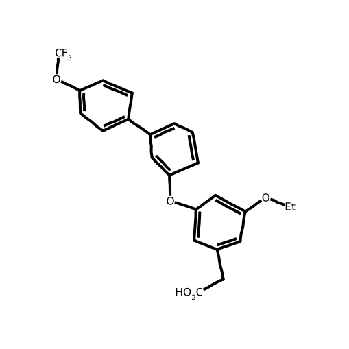 CCOc1cc(CC(=O)O)cc(Oc2cccc(-c3ccc(OC(F)(F)F)cc3)c2)c1